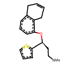 CNCC[C@H](Oc1cccc2c1CC=CC2)c1cccs1